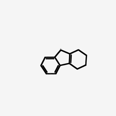 [CH]1C2=C(CCCC2)c2ccccc21